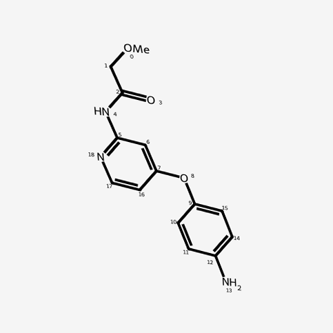 COCC(=O)Nc1cc(Oc2ccc(N)cc2)ccn1